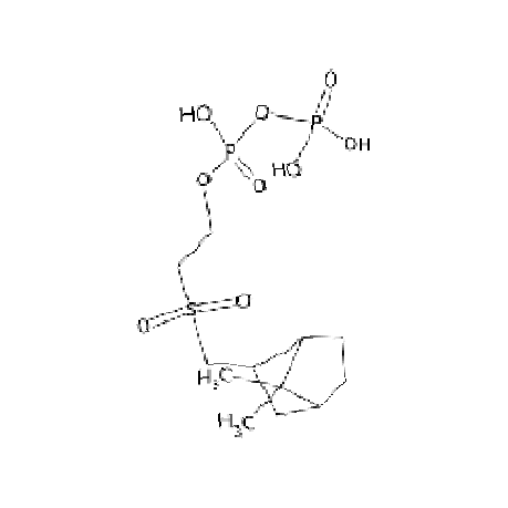 CC1(C)C2CCC1C(CS(=O)(=O)CCOP(=O)(O)OP(=O)(O)O)C2